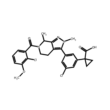 COc1cccc(C(=O)N2CCc3c(nn(C)c3-c3cc(Cl)cc(C4(C(=O)O)CC4)c3)C2C)c1Cl